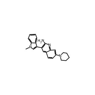 Cn1cc(-c2cc3ccc(N4CCCCC4)cc3nc2N)c2ccccc21